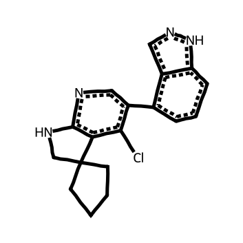 Clc1c(-c2cccc3[nH]ncc23)cnc2c1C1(CCCC1)CN2